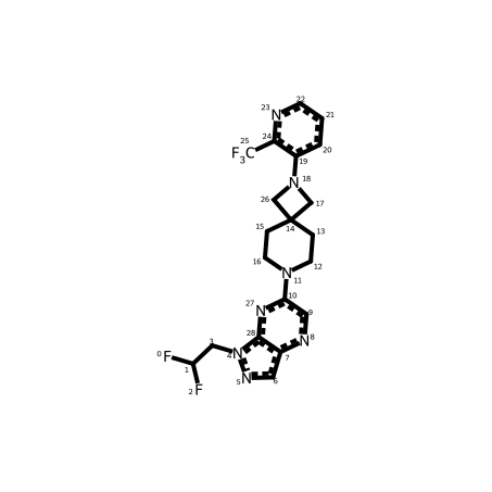 FC(F)Cn1ncc2ncc(N3CCC4(CC3)CN(c3cccnc3C(F)(F)F)C4)nc21